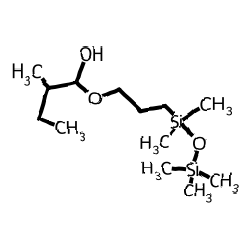 CCC(C)C(O)OCCC[Si](C)(C)O[Si](C)(C)C